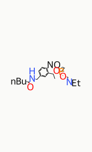 CCCCC(=O)NCc1ccc([N+](=O)[O-])c(C(C)OP(C)OC=NCC)c1